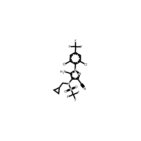 N#Cc1nn(-c2c(Cl)cc(C(F)(F)F)cc2Cl)c(N)c1N(CC1CC1)S(=O)(=O)C(F)(F)F